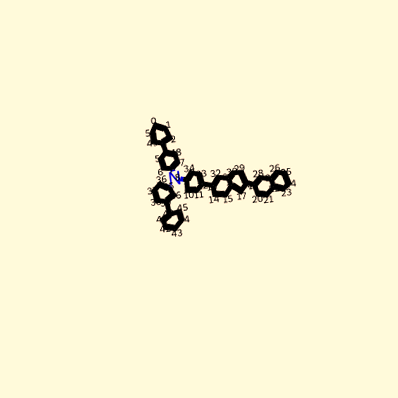 c1ccc(-c2ccc(N(c3ccc(-c4ccc5cc(-c6ccc7ccccc7c6)ccc5c4)cc3)c3cccc(-c4ccccc4)c3)cc2)cc1